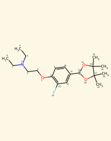 CCN(CC)CCOc1ccc(B2OC(C)(C)C(C)(C)O2)cc1F